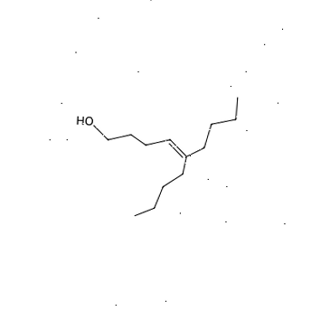 CCCCC(=CCCCO)CCCC